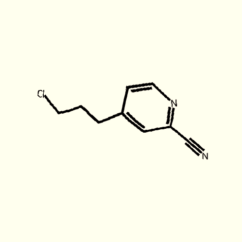 N#Cc1cc(CCCCl)ccn1